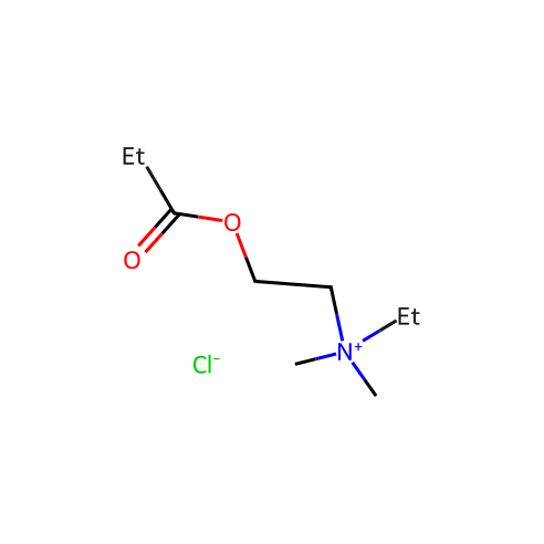 CCC(=O)OCC[N+](C)(C)CC.[Cl-]